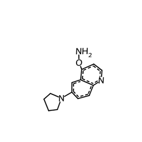 NOc1ccnc2ccc(N3CCCC3)cc12